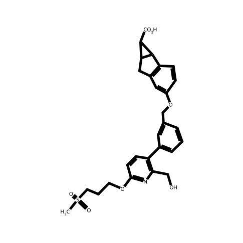 CS(=O)(=O)CCCOc1ccc(-c2cccc(COc3ccc4c(c3)CC3C(C(=O)O)C43)c2)c(CO)n1